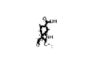 Cc1[nH]c2cc(C(=O)O)ccc2c1C=O